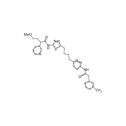 COCCC(C(=O)Nc1nnc(CCCCc2ccc(NC(=O)Cc3cccc(C)c3)nn2)s1)c1cccnc1